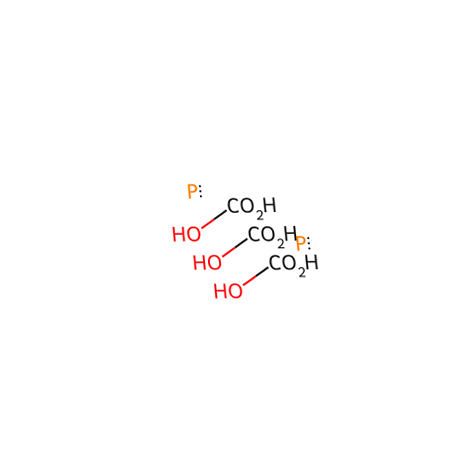 O=C(O)O.O=C(O)O.O=C(O)O.[P].[P]